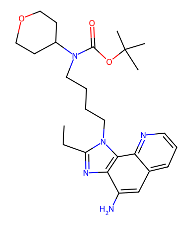 CCc1nc2c(N)cc3cccnc3c2n1CCCCN(C(=O)OC(C)(C)C)C1CCOCC1